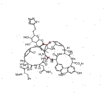 CN[C@@H](CC(C)C)C(=O)N[C@H]1C(=O)N[C@@H](CC(N)=O)C(=O)N[C@H]2C(=O)N[C@H]3C(=O)N[C@H](C(=O)N[C@@H](C(=O)O)c4cc(O)cc(O)c4-c4cc3ccc4O)[C@H](O)c3ccc(c(Cl)c3)Oc3cc2cc(c3OC2OC(CSc3nnnn3C)C(O)C(O)C2OC2CC(C)(N)C(O)C(C)O2)Oc2ccc(cc2Cl)[C@H]1O